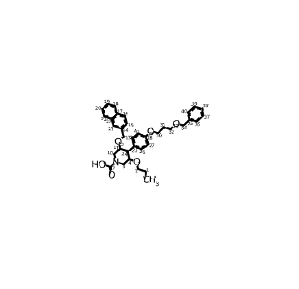 CCCOC1CN(C(=O)O)CC(OCc2ccc3ccccc3c2)C1c1ccc(OCCCOCc2ccccc2)cc1